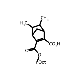 CCCCCCCCOC(=O)C1=C(C(=O)O)C2CC1C(C)C2C